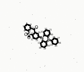 O=C1c2ccccc2S(=O)(=O)c2ccc(N3c4ccccc4B(c4ccccc4)c4ccccc43)cc21